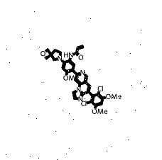 C=CC(=O)Nc1cc(-c2cc3c(cn2)cc(-c2c(Cl)c(OC)cc(OC)c2Cl)c2nccn23)c(OC)cc1N1CCC2(COC2)C1